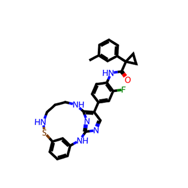 Cc1cccc(C2(C(=O)Nc3ccc(-c4cnc5nc4NCCCNSc4cccc(c4)N5)cc3F)CC2)c1